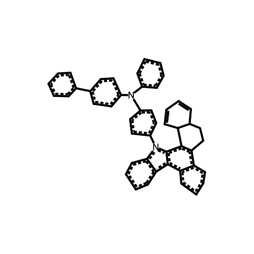 C1=CC2CCc3c(c4c(c5ccccc35)c3ccccc3n4-c3ccc(N(c4ccccc4)c4ccc(-c5ccccc5)cc4)cc3)C2C=C1